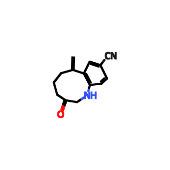 C=C1CCCC(=O)CNc2ccc(C#N)cc21